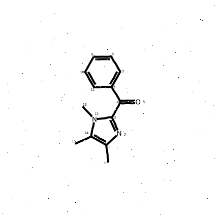 Cc1nc(C(=O)c2ccccc2)n(C)c1C